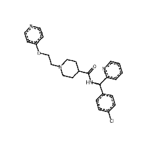 O=C(NC(c1ccc(Cl)cc1)c1ccccn1)C1CCN(CCOc2ccncc2)CC1